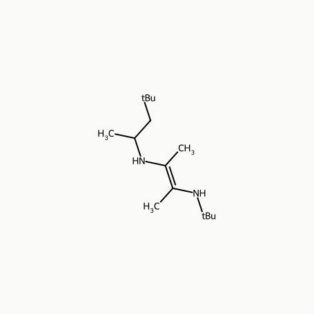 C/C(NC(C)CC(C)(C)C)=C(/C)NC(C)(C)C